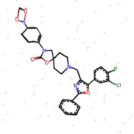 O=C1OC2(CCN(Cc3nc(-c4ccccc4)oc3-c3ccc(F)c(Cl)c3)CC2)CN1C1=CC=C(N2OCO2)CC1